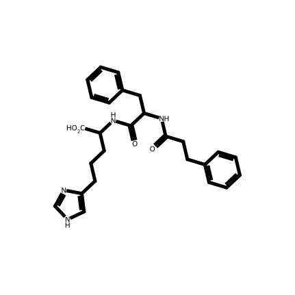 O=C(CCc1ccccc1)NC(Cc1ccccc1)C(=O)NC(CCCc1c[nH]cn1)C(=O)O